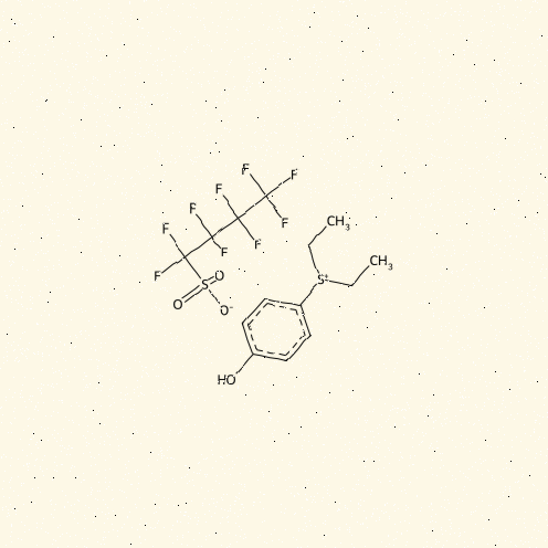 CC[S+](CC)c1ccc(O)cc1.O=S(=O)([O-])C(F)(F)C(F)(F)C(F)(F)C(F)(F)F